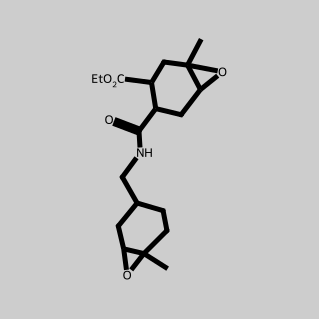 CCOC(=O)C1CC2(C)OC2CC1C(=O)NCC1CCC2(C)OC2C1